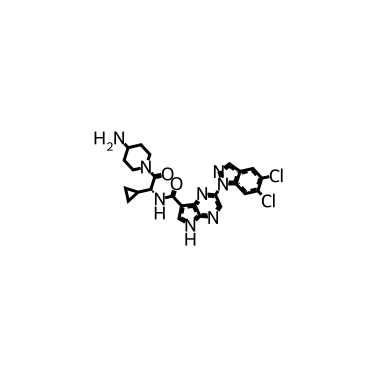 NC1CCN(C(=O)[C@H](NC(=O)c2c[nH]c3ncc(-n4ncc5cc(Cl)c(Cl)cc54)nc23)C2CC2)CC1